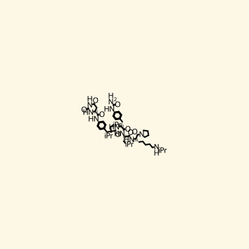 CC(C)C[C@H](NC(=O)[C@@H](Cc1ccc(NC(N)=O)cc1)NC(=O)C(Cc1ccc(NC(=O)[C@@H]2CC(=O)NC(=O)N2)cc1)(CC(C)C)C(C)C)C(=O)N[C@@H](CCCCCNC(C)C)C(=O)N1CCCC1